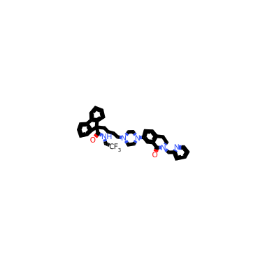 O=C1c2cc(N3CCN(CCCCC4(C(=O)NCC(F)(F)F)c5ccccc5-c5ccccc54)CC3)ccc2CCN1Cc1ccccn1